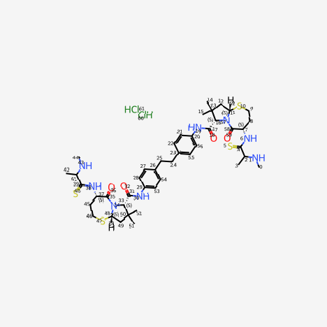 CNC(C)C(=S)N[C@H]1CCS[C@H]2CC(C)(C)[C@@H](C(=O)Nc3ccc(CCc4ccc(NC(=O)[C@H]5N6C(=O)[C@@H](NC(=S)C(C)NC)CCS[C@H]6CC5(C)C)cc4)cc3)N2C1=O.Cl.Cl